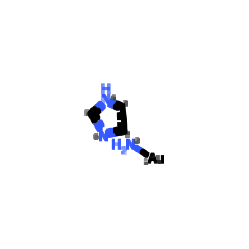 [NH2][Au].c1c[nH]cn1